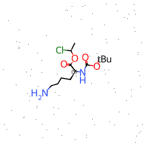 CC(Cl)OC(=O)[C@H](CCCCN)NC(=O)OC(C)(C)C